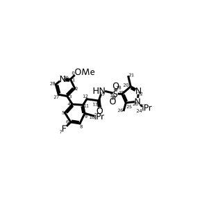 COc1cc(-c2cc(F)cc(C(C)C)c2CC(=O)NS(=O)(=O)c2c(C)nn(C(C)C)c2C)ccn1